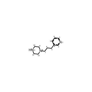 c1cncc(CCCN2CCNCC2)c1